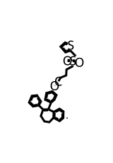 O=S(=O)(CCCCCOc1ccc(C2=C(c3ccccc3)CCCc3c[c]ccc32)cc1)Cc1cccs1